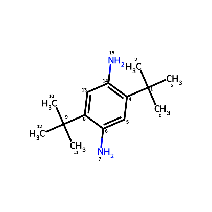 CC(C)(C)c1cc(N)c(C(C)(C)C)cc1N